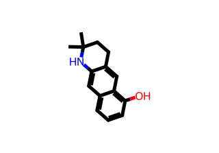 CC1(C)CCc2cc3c(O)cccc3cc2N1